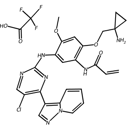 C=CC(=O)Nc1cc(Nc2ncc(Cl)c(-c3cnn4ccccc34)n2)c(OC)cc1OCC1(N)CC1.O=C(O)C(F)(F)F